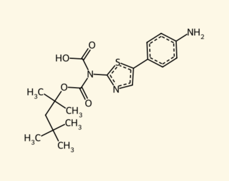 CC(C)(C)CC(C)(C)OC(=O)N(C(=O)O)c1ncc(-c2ccc(N)cc2)s1